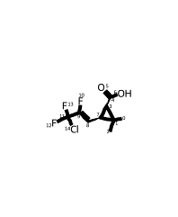 CC1(C)[C@H](C(=O)O)[C@@H]1/C=C(\F)C(F)(F)Cl